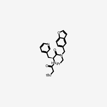 CC(C)CN(Cc1ccc2occc2c1)C(=O)[C@H](Cc1cccnc1)NC(=O)CC(C)(C)C